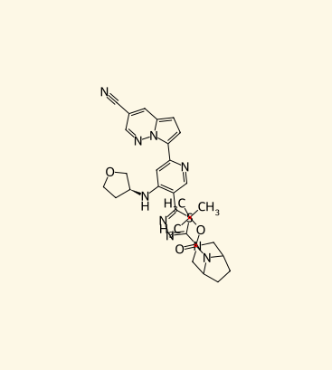 CC(C)(C)OC(=O)N1C2CCC1CN(c1nnc(-c3cnc(-c4ccc5cc(C#N)cnn45)cc3N[C@H]3CCOC3)s1)C2